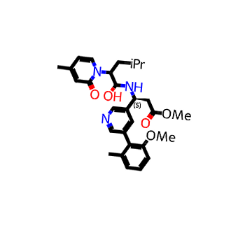 COC(=O)C[C@H](NC(O)C(CC(C)C)n1ccc(C)cc1=O)c1cncc(-c2c(C)cccc2OC)c1